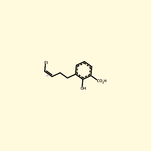 CC/C=C\CCc1cccc(C(=O)O)c1O